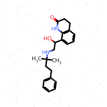 CC(C)(CCc1ccccc1)NCC(O)c1cccc2c1NC(=O)CC2